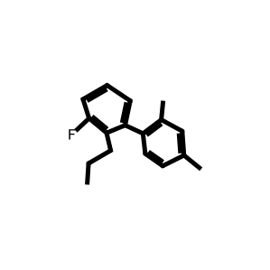 CCCc1c(F)cccc1-c1ccc(C)cc1C